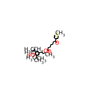 CC(CCc1cc(C(C)(C)C)c(O)c(C(C)(C)C)c1)OC(=O)CCCCCC(=O)C1=CC=S(C)C=C1